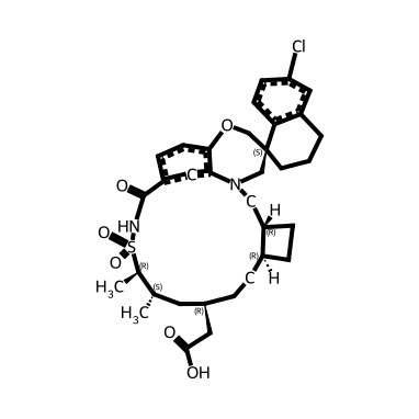 C[C@@H]1[C@@H](C)C[C@H](CC(=O)O)CC[C@@H]2CC[C@H]2CN2C[C@@]3(CCCc4cc(Cl)ccc43)COc3ccc(cc32)C(=O)NS1(=O)=O